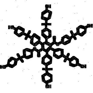 CC(C)(c1ccc(O)cc1)c1ccc(OC(=O)c2c(-c3ccc(C(C)(C)c4ccc(O)cc4)cc3)c(-c3ccc(C(C)(C)c4ccc(O)cc4)cc3)c(C(=O)Oc3ccc(C(C)(C)c4ccc(O)cc4)cc3)c(-c3ccc(C(C)(C)c4ccc(O)cc4)cc3)c2-c2ccc(C(C)(C)c3ccc(O)cc3)cc2)cc1